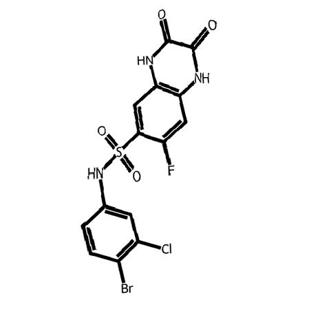 O=c1[nH]c2cc(F)c(S(=O)(=O)Nc3ccc(Br)c(Cl)c3)cc2[nH]c1=O